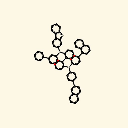 c1ccc(-c2cccc(N(c3ccc4c(c3)sc3ccccc34)c3ccccc3-c3ccccc3N(c3ccc(-c4ccc5ccccc5c4)cc3)c3ccc(-c4cccc5ccccc45)cc3)c2)cc1